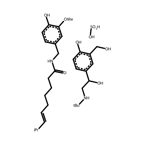 CC(C)(C)NCC(O)c1ccc(O)c(CO)c1.COc1cc(CNC(=O)CCCC/C=C/C(C)C)ccc1O.O=S(=O)(O)O